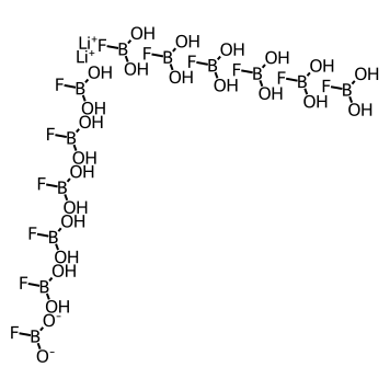 OB(O)F.OB(O)F.OB(O)F.OB(O)F.OB(O)F.OB(O)F.OB(O)F.OB(O)F.OB(O)F.OB(O)F.OB(O)F.[Li+].[Li+].[O-]B([O-])F